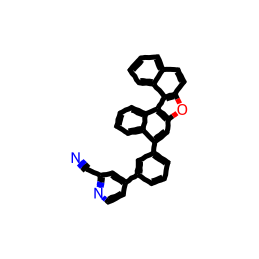 N#Cc1cc(-c2cccc(-c3cc4oc5ccc6ccccc6c5c4c4ccccc34)c2)ccn1